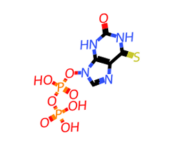 O=c1[nH]c(=S)c2ncn(OP(=O)(O)OP(=O)(O)O)c2[nH]1